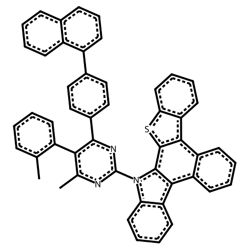 Cc1ccccc1-c1c(C)nc(-n2c3ccccc3c3c4ccccc4c4c5ccccc5sc4c32)nc1-c1ccc(-c2cccc3ccccc23)cc1